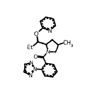 CCC(Oc1ccccn1)C1CC(C)CN1C(=O)c1ccccc1-n1nccn1